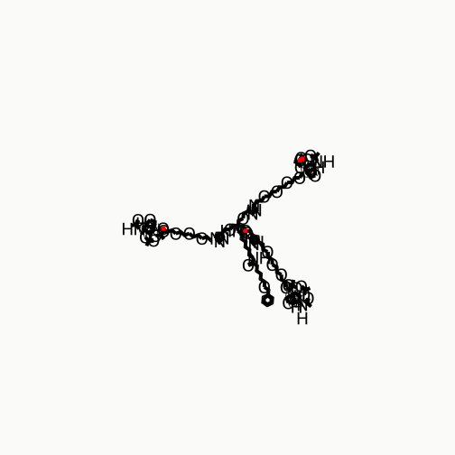 CC(=O)N[C@H]1[C@H]2OC[C@](COCCOCCOCCOCCn3cc(COCC(COCc4cn(CCOCCOCCOCCOC[C@@]56CO[C@@H](O5)[C@H](NC(C)=O)[C@@H](OC(C)=O)[C@H]6OC(C)=O)nn4)(COCc4cn(CCOCCOCCOCCOC[C@@]56CO[C@@H](O5)[C@H](NC(C)=O)[C@@H](OC(C)=O)[C@H]6OC(C)=O)nn4)NC(=O)CCCCCNC(=O)CCCCCOCc4ccccc4)nn3)(O2)[C@H](OC(C)=O)[C@@H]1OC(C)=O